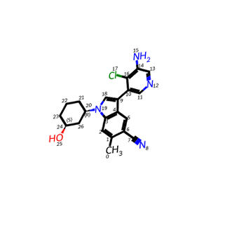 Cc1cc2c(cc1C#N)c(-c1cncc(N)c1Cl)cn2[C@@H]1CCC[C@H](O)C1